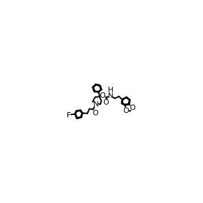 O=C(NCCc1ccc2c(c1)OCO2)OC1(c2ccccc2)CCN(C(=O)CCc2ccc(F)cc2)CC1